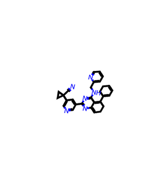 N#CC1(c2cncc(-c3nc(NCc4ccccn4)c4c(n3)=CCCC=4C3=CC=CCC3)c2)CC1